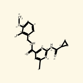 Cc1cc(C(=O)NCc2cccc(OC(F)(F)F)c2F)nc(NC(=O)C2CC2)n1